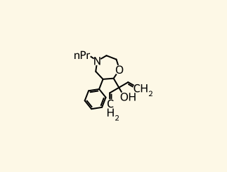 C=CC(O)(C=C)C1OCCN(CCC)CC1c1ccccc1